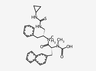 CN(C(=O)[C@@H](Cc1ccc2ccccc2c1)N(C)C(=O)O)[C@@H](CNC(=S)NC1CC1)Cc1ccccc1